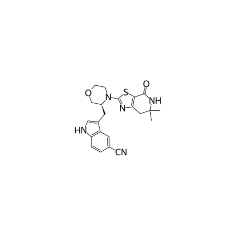 CC1(C)Cc2nc(N3CCOC[C@@H]3Cc3c[nH]c4ccc(C#N)cc34)sc2C(=O)N1